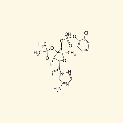 CC1(C)O[C@H]2[C@H](c3ccc4c(N)ncnn34)O[C@]3(C)C(OP(=O)(O)Oc4ccccc4Cl)C23O1